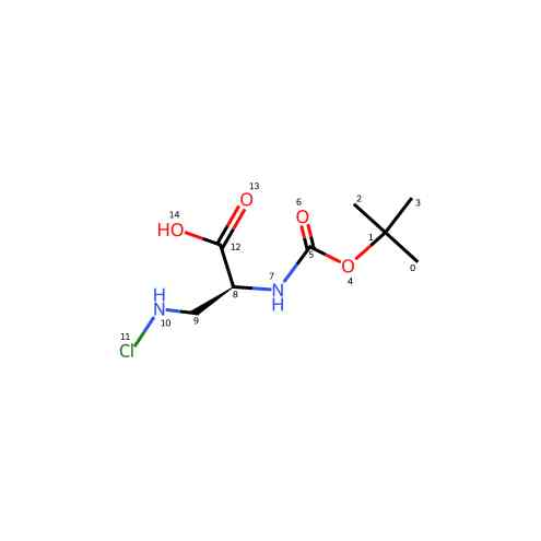 CC(C)(C)OC(=O)N[C@@H](CNCl)C(=O)O